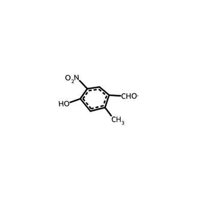 Cc1cc(O)c([N+](=O)[O-])cc1[C]=O